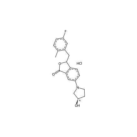 Cc1ccc(F)cc1CC1OC(=O)c2cc(N3CC[C@@H](O)C3)ccc21.Cl